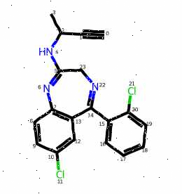 C#CC(C)NC1=Nc2ccc(Cl)cc2C(c2ccccc2Cl)=NC1